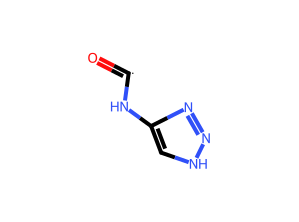 O=[C]Nc1c[nH]nn1